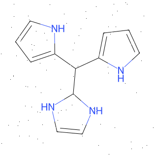 C1=CNC(C(c2ccc[nH]2)c2ccc[nH]2)N1